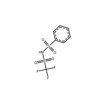 O=S(=O)(NS(=O)(=O)C(F)(F)F)c1ccccc1